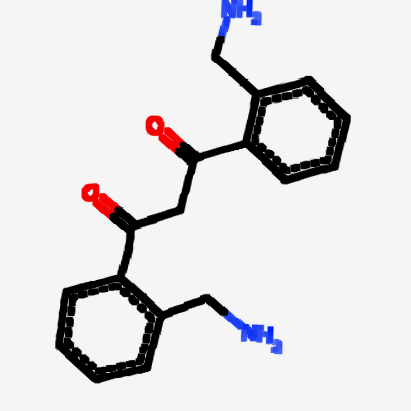 NCc1ccccc1C(=O)CC(=O)c1ccccc1CN